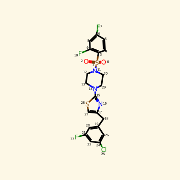 O=S(=O)(c1ccc(F)cc1F)N1CCN(c2nc(Cc3cc(F)cc(Cl)c3)cs2)CC1